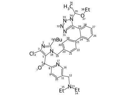 CCCCc1nc(Cl)c(C(=O)c2ccc(CN(CC)CC)cn2)n1Cc1ccc(-c2ccccc2-c2nnnn2C(C)OCC)cc1